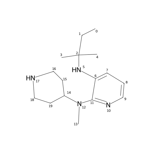 CCC(C)(C)Nc1cccnc1N(C)C1CCNCC1